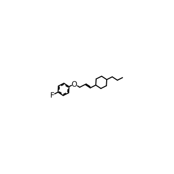 CCCC1CCC(C=CCOc2ccc(F)cc2)CC1